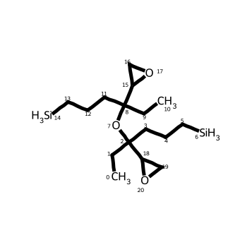 CCC(CCC[SiH3])(OC(CC)(CCC[SiH3])C1CO1)C1CO1